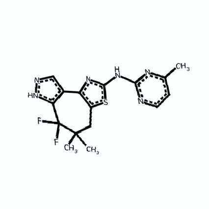 Cc1ccnc(Nc2nc3c(s2)CC(C)(C)C(F)(F)c2[nH]ncc2-3)n1